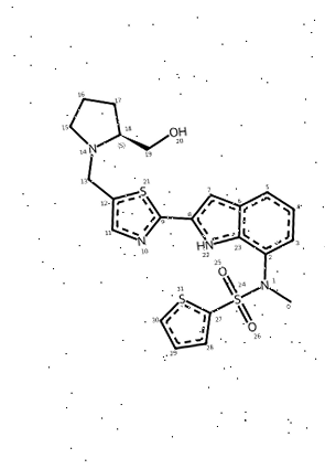 CN(c1cccc2cc(-c3ncc(CN4CCC[C@H]4CO)s3)[nH]c12)S(=O)(=O)c1cccs1